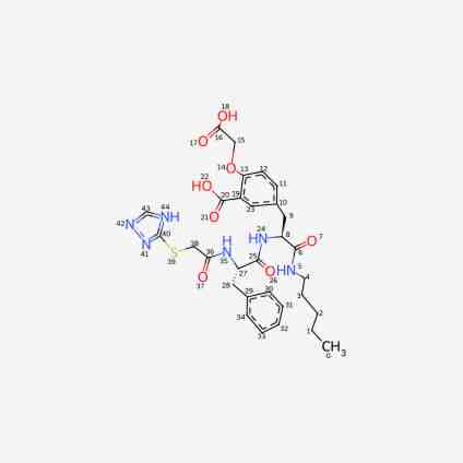 CCCCCNC(=O)[C@H](Cc1ccc(OCC(=O)O)c(C(=O)O)c1)NC(=O)[C@H](Cc1ccccc1)NC(=O)CSc1nnc[nH]1